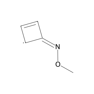 CON=C1[CH]C=C1